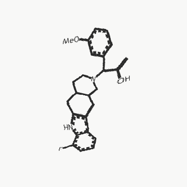 C=C(O)C(c1cccc(OC)c1)N1CCC2Cc3[nH]c4c(F)cccc4c3CC2C1